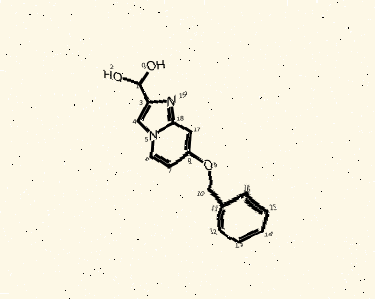 OC(O)c1cn2ccc(OCc3ccccc3)cc2n1